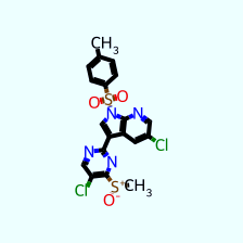 Cc1ccc(S(=O)(=O)n2cc(-c3ncc(Cl)c([S+](C)[O-])n3)c3cc(Cl)cnc32)cc1